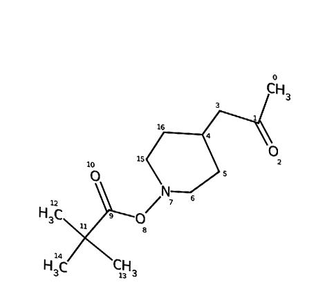 CC(=O)CC1CCN(OC(=O)C(C)(C)C)CC1